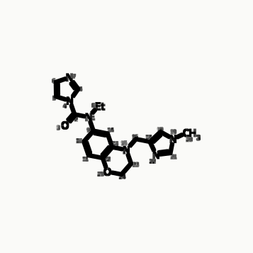 CCN(C(=O)n1ccnc1)c1ccc2c(c1)N(Cc1cn(C)cn1)CCO2